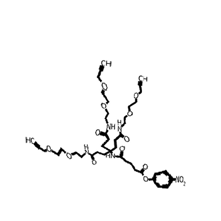 C#CCOCCOCCNC(=O)CCC(CCC(=O)NCCOCCOCC#C)(CCC(=O)NCCOCCOCC#C)NC(=O)CCCC(=O)Oc1ccc([N+](=O)[O-])cc1